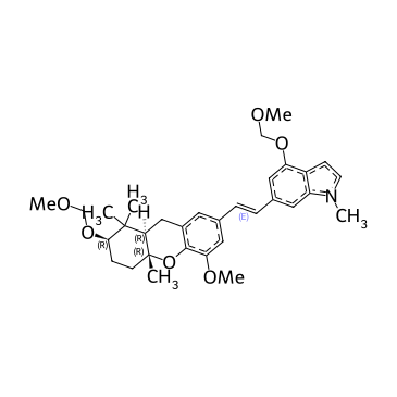 COCOc1cc(/C=C/c2cc3c(c(OC)c2)O[C@]2(C)CC[C@@H](OCOC)C(C)(C)[C@H]2C3)cc2c1ccn2C